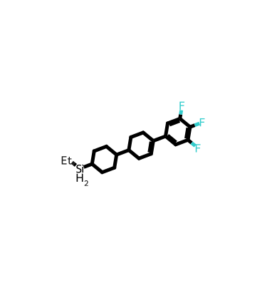 CC[SiH2]C1CCC(C2CC=C(c3cc(F)c(F)c(F)c3)CC2)CC1